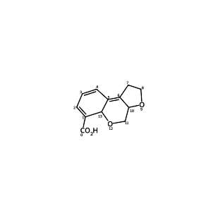 O=C(O)C1=CC=CC2=C3CCOC3COC12